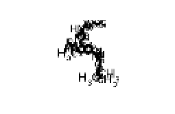 C[C@@H]1Cc2cc(-c3nnn(COCC[Si](C)(C)C)n3)ccc2[C@@H](c2ccc(NC3CN(CCCF)C3)cn2)N1CC(F)(F)F